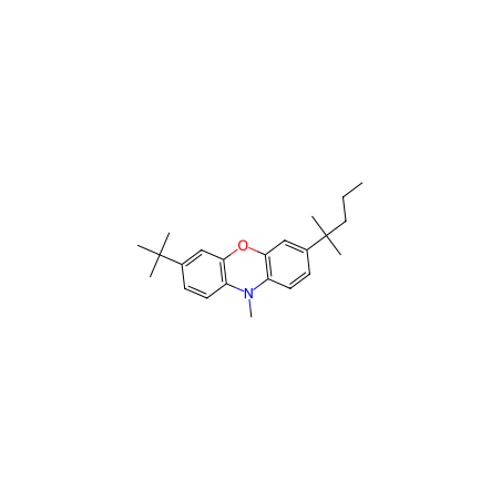 CCCC(C)(C)c1ccc2c(c1)Oc1cc(C(C)(C)C)ccc1N2C